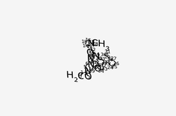 C=CC(=O)N1CCN(c2nc(OCC3CCCN3C)nc3cc(-c4ccccc4C4CC4)c4ccoc4c23)CC1